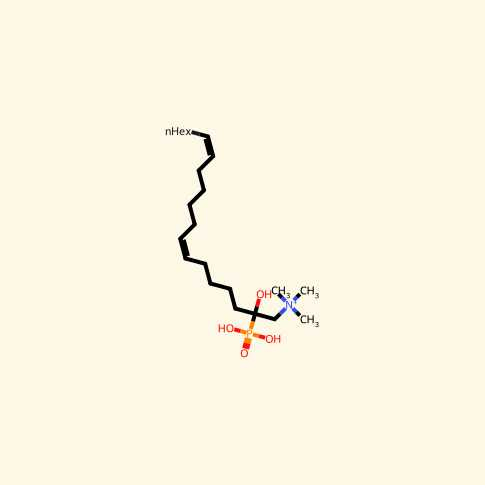 CCCCCC/C=C\CCCC/C=C\CCCCC(O)(C[N+](C)(C)C)P(=O)(O)O